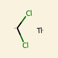 Cl[CH]Cl.[Tl]